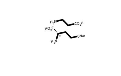 CSCC[C@H](N)C(=O)O.NCCC(=O)O